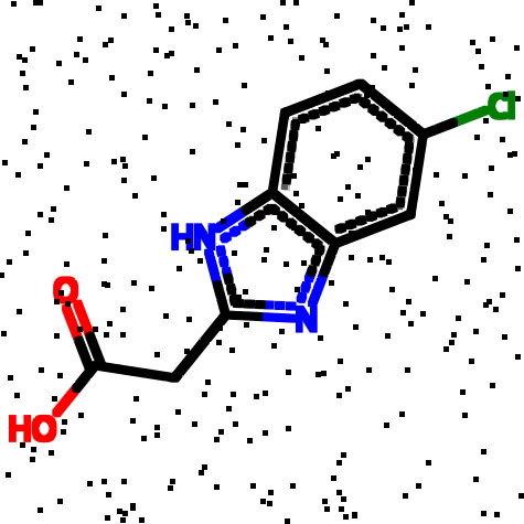 O=C(O)Cc1nc2cc(Cl)ccc2[nH]1